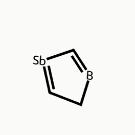 B1=[CH][Sb]=[CH]C1